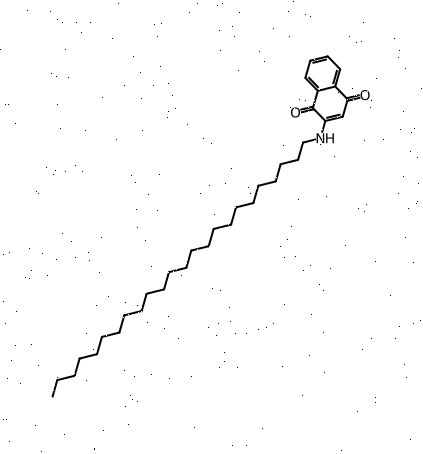 CCCCCCCCCCCCCCCCCCCCCCCCNC1=CC(=O)c2ccccc2C1=O